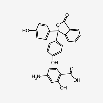 Nc1ccc(C(=O)O)c(O)c1.O=C1OC(c2ccc(O)cc2)(c2ccc(O)cc2)c2ccccc21